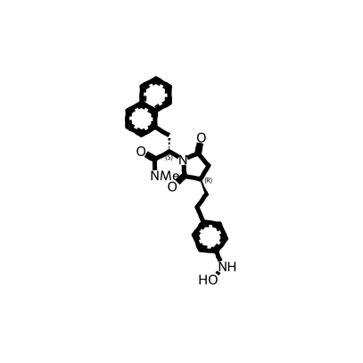 CNC(=O)[C@H](Cc1cccc2ccccc12)N1C(=O)C[C@@H](CCc2ccc(NO)cc2)C1=O